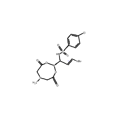 CCCC/C=C/C(NS(=O)(=O)c1ccc(Cl)cc1)B1OC(=O)CN(C)CC(=O)O1